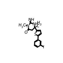 CN1C(=N)N[C@](C)(c2ccc(-c3cccc(I)c3)s2)CC1=O